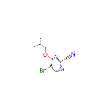 CC(C)COc1nc(C#N)ncc1Br